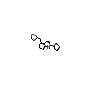 c1ccc(-c2ccc3c(CC4CCCC4)cccc3n2)cc1